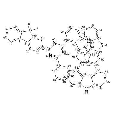 CC1(C)c2ccccc2-c2ccc(-c3nc(-c4ccccc4)nc(-c4cccc5oc6ccc(-c7cccc8oc9cccc(-c%10ccc%11c(c%10)sc%10ccccc%10%11)c9c78)cc6c45)n3)cc21